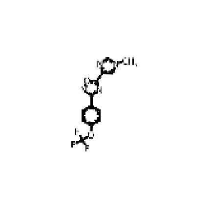 Cn1cnc(-c2nc(-c3ccc(OC(F)(F)F)cc3)no2)c1